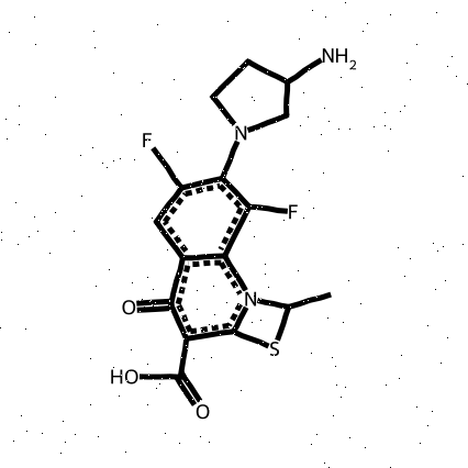 CC1Sc2c(C(=O)O)c(=O)c3cc(F)c(N4CCC(N)C4)c(F)c3n21